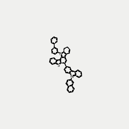 C1=Cc2c(n(-c3cccc(-c4ccccc4)c3)c3c2cc(-c2ccc4c(c2)c2ccccc2n4-c2ccc4ccccc4c2)c2sc4ccccc4c23)CC1